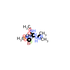 CCONC(=O)c1cnc(Nc2cc(C)nc(C)n2)cc1Nc1cc(F)c(Br)cc1N(C)S(C)(=O)=O